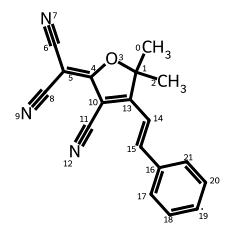 CC1(C)OC(=C(C#N)C#N)C(C#N)=C1/C=C/c1cc[c]cc1